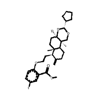 C=C1CCC2[C@]3(C)CO[C@@H](C4CCCC4)O[C@@H]3CC[C@@]2(C)[C@@H]1CCOc1ccc(F)cc1C(=O)OC